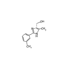 Cc1cccc(-c2nc(CO)c(C)[nH]2)c1